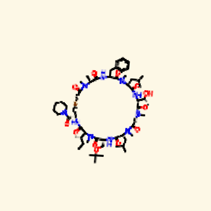 CC[C@H](C)[C@H]1C(=O)N[C@H](C(=O)N2CCCCC2)CSCC(=O)N(C)[C@@H](C)C(=O)N[C@@H](Cc2ccccc2)C(=O)N(C)[C@@H](CC(C)C)C(=O)N[C@@H]([C@@H](C)O)C(=O)N(C)CC(=O)N(C)[C@@H](CC(C)C)C(=O)N[C@@H](COC(C)(C)C)C(=O)N1C